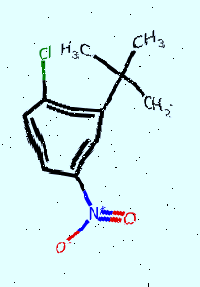 [CH2]C(C)(C)c1cc([N+](=O)[O-])ccc1Cl